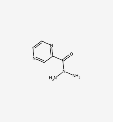 NN(N)C(=O)c1cnccn1